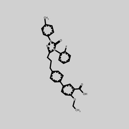 CCOc1ccc(-c2ccc(CCCc3nn(-c4ccc(C)cc4)c(=O)n3-c3ccccc3F)cc2)cc1C(=O)O